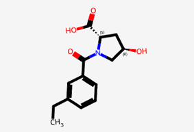 CCc1cccc(C(=O)N2C[C@H](O)C[C@H]2C(=O)O)c1